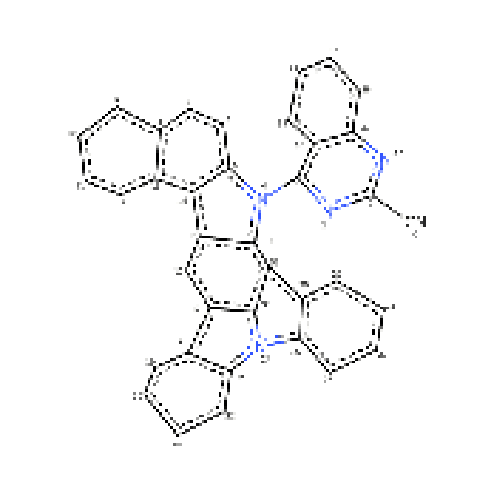 N#Cc1nc(-n2c3ccc4ccccc4c3c3cc4c5ccccc5n5c6ccccc6c(c32)c45)c2ccccc2n1